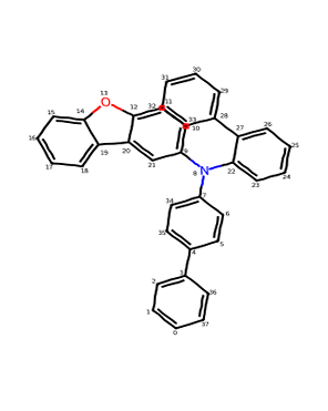 c1ccc(-c2ccc(N(c3ccc4oc5ccccc5c4c3)c3ccccc3-c3ccccc3)cc2)cc1